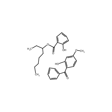 CCCCCC(CC)OC(=O)c1ccccc1O.COc1ccc(C(=O)c2ccccc2)c(O)c1